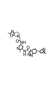 Cc1nc2c(o1)CN(CC(=O)Nc1cnc(C)c(NC(=O)c3nnc4cc(-c5cnn(C)c5)ccn34)c1)CC2